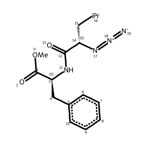 COC(=O)[C@H](Cc1ccccc1)NC(=O)[C@H](CC(C)C)N=[N+]=[N-]